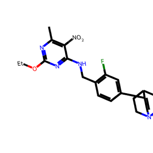 CCOc1nc(C)c([N+](=O)[O-])c(NCc2ccc(C3=CN4CCC3CC4)cc2F)n1